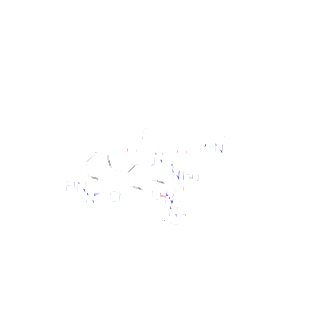 Cc1ccc2[nH]ncc2c1-c1c(Cl)cc2c(N3CC4CC(C3)N4C(=O)OC(C)(C)C)nc(OC[C@@H]3CCCN3C)nc2c1OC1CC1